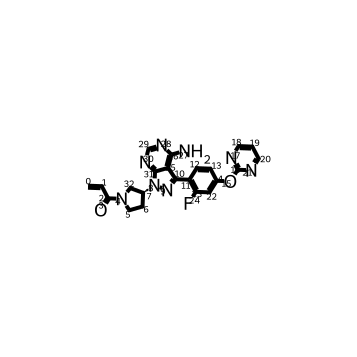 C=CC(=O)N1CC[C@@H](n2nc(-c3ccc(Oc4ncccn4)cc3F)c3c(N)ncnc32)C1